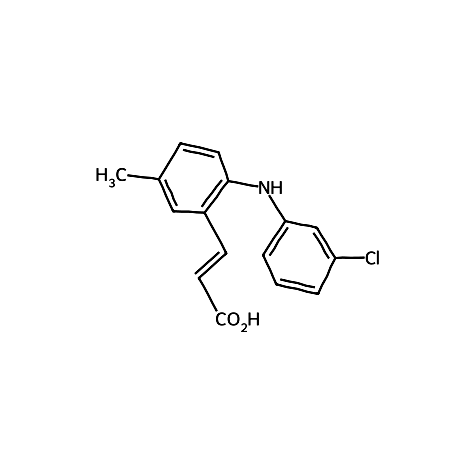 Cc1ccc(Nc2cccc(Cl)c2)c(C=CC(=O)O)c1